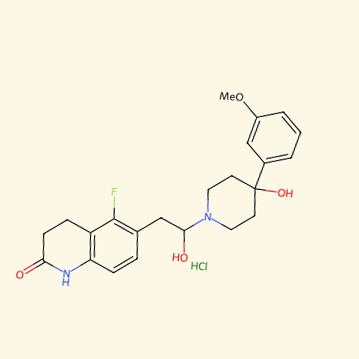 COc1cccc(C2(O)CCN(C(O)Cc3ccc4c(c3F)CCC(=O)N4)CC2)c1.Cl